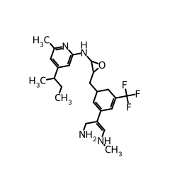 CCC(C)c1cc(C)nc(NC2OC2CC2C=C(/C(=C/NC)CN)C=C(C(F)(F)F)C2)c1